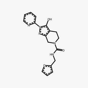 O=C(NCc1ccco1)N1CCc2c(nn(-c3ccccn3)c2O)C1